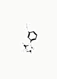 CCOc1cccc(-n2nn[nH]c2=O)c1